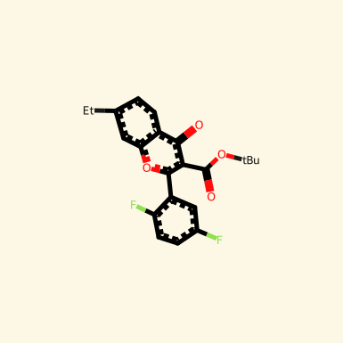 CCc1ccc2c(=O)c(C(=O)OC(C)(C)C)c(-c3cc(F)ccc3F)oc2c1